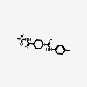 Cc1ccc(NC(=O)N2CCC(C(=O)NS(C)(=O)=O)CC2)cc1